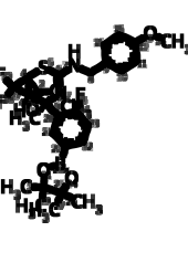 COC(=O)[C@@]12SC(NCc3ccc(OC)cc3)=N[C@](C)(c3cc(B4OC(C)(C)C(C)(C)O4)ccc3F)[C@@H]1C2(F)F